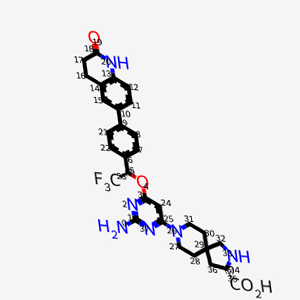 Nc1nc(O[C@H](c2ccc(-c3ccc4c(c3)CCC(=O)N4)cc2)C(F)(F)F)cc(N2CCC3(CC2)CN[C@H](C(=O)O)C3)n1